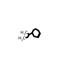 [CH2]CC(C)C1CC=CCCC1